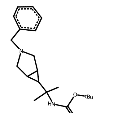 CC(C)(C)OC(=O)NC(C)(C)C1C2CN(Cc3ccccc3)CC21